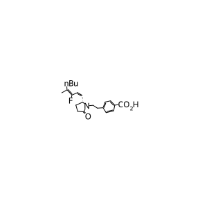 CCCC/C(C)=C(F)\C=C/[C@H]1CCC(=O)N1CCc1ccc(C(=O)O)cc1